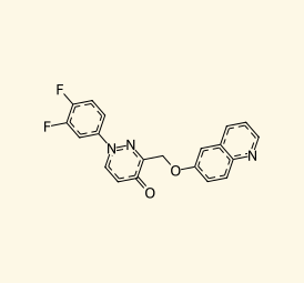 O=c1ccn(-c2ccc(F)c(F)c2)nc1COc1ccc2ncccc2c1